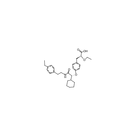 CCO[C@@H](Cc1ccc(O[C@@H](C(=O)NCCc2ccc(CC)cc2)C2CCCCC2)cc1)C(=O)O